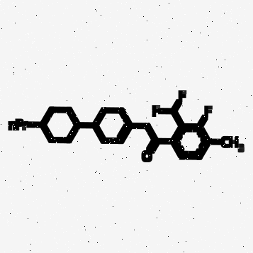 CCCC1CCC(C2CC=C(CC(=O)c3ccc(C)c(F)c3C(F)F)CC2)CC1